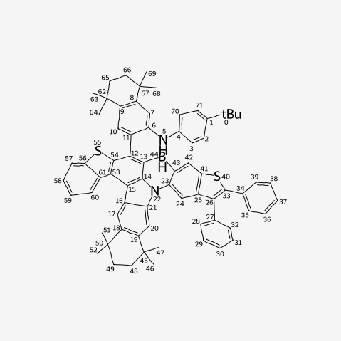 CC(C)(C)c1ccc(Nc2cc3c(cc2-c2c4c5c(c6cc7c(cc6n5-c5cc6c(-c8ccccc8)c(-c8ccccc8)sc6cc5B4)C(C)(C)CCC7(C)C)c4c2sc2ccccc24)C(C)(C)CCC3(C)C)cc1